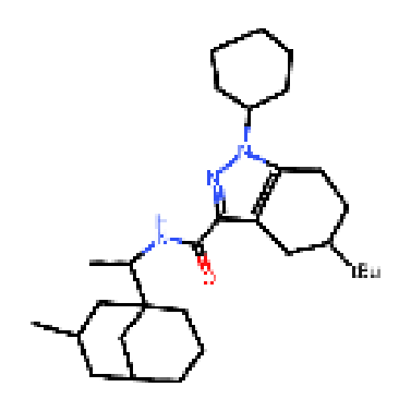 CC1CC2CCCC(C(C)NC(=O)c3nn(C4CCCCC4)c4c3CC(C(C)(C)C)CC4)(C1)C2